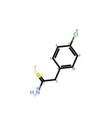 NC(=S)Cc1ccc(Cl)cc1